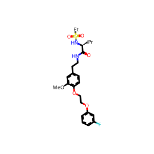 CCS(=O)(=O)N[C@H](C(=O)NCCc1ccc(OCCOc2cccc(F)c2)c(OC)c1)C(C)C